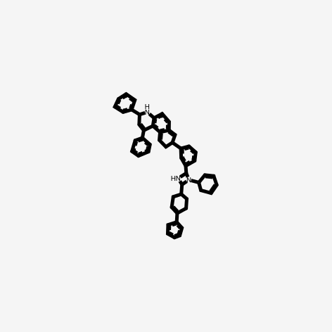 C1=CCC(N2C(c3cccc(C4C=c5ccc6c(c5=CC4)C(c4ccccc4)=CC(c4ccccc4)N6)c3)NC2C2CC=C(c3ccccc3)CC2)C=C1